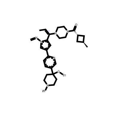 C=Nn1cc(-c2ccc(C3(OCC)CCN(C(C)C)CC3)cn2)cc1/C(=C\C)N1CCN(C(=O)[C@H]2C[C@H](C)C2)CC1